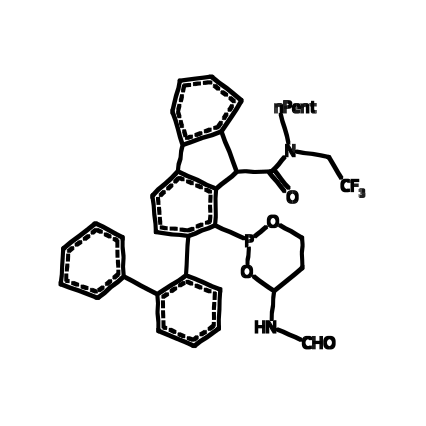 CCCCCN(CC(F)(F)F)C(=O)C1c2ccccc2-c2ccc(-c3ccccc3-c3ccccc3)c(P3OCCC(NC=O)O3)c21